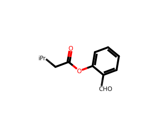 CC(C)CC(=O)Oc1ccccc1C=O